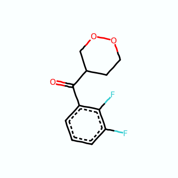 O=C(c1cccc(F)c1F)C1CCOOC1